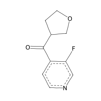 O=C(c1ccncc1F)C1CCOC1